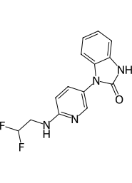 O=c1[nH]c2ccccc2n1-c1ccc(NCC(F)F)nc1